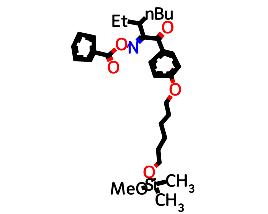 CCCCC(CC)/C(=N\OC(=O)c1ccccc1)C(=O)c1ccc(OCCCCCCO[Si](C)(C)OC)cc1